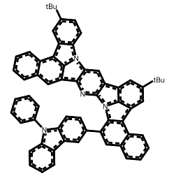 CC(C)(C)c1ccc2c(c1)c1c3ccccc3cc3c4nc5c(cc4n2c31)c1cc(C(C)(C)C)cc2c3c4ccccc4cc(-c4ccc6c(c4)c4ccccc4n6-c4ccccc4)c3n5c12